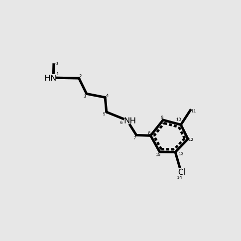 CNCCCCNCc1cc(C)cc(Cl)c1